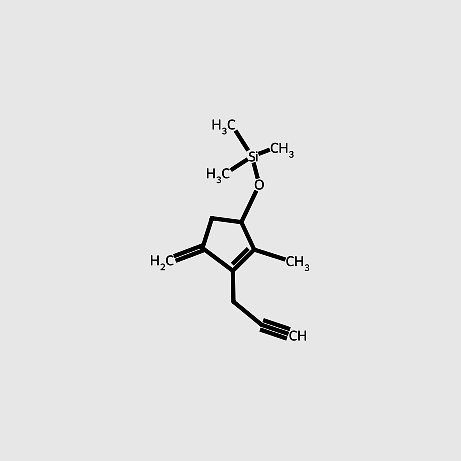 C#CCC1=C(C)C(O[Si](C)(C)C)CC1=C